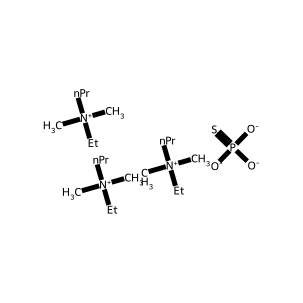 CCC[N+](C)(C)CC.CCC[N+](C)(C)CC.CCC[N+](C)(C)CC.[O-]P([O-])([O-])=S